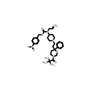 C=CCN(C(=O)OCc1ccc([N+](=O)[O-])cc1)C1CCN(CCC2(c3ccccc3)CCN(C(=O)C(C)(C)C)CO2)CC1